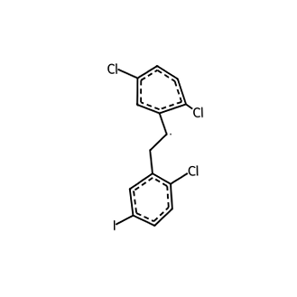 Clc1ccc(Cl)c([CH]Cc2cc(I)ccc2Cl)c1